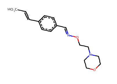 O=C(O)/C=C/c1ccc(C=NOCCN2CCOCC2)cc1